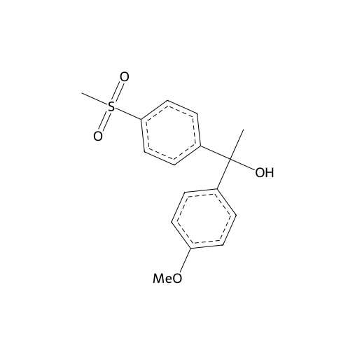 COc1ccc(C(C)(O)c2ccc(S(C)(=O)=O)cc2)cc1